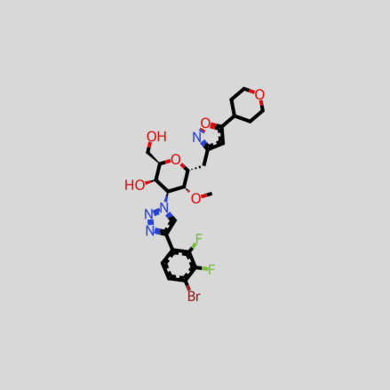 CO[C@@H]1[C@@H](n2cc(-c3ccc(Br)c(F)c3F)nn2)[C@@H](O)[C@@H](CO)O[C@@H]1Cc1cc(C2CCOCC2)on1